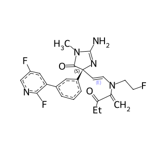 C=C(C(=O)CC)N(/C=C/[C@@]1(c2cccc(-c3cc(F)cnc3F)c2)N=C(N)N(C)C1=O)CCF